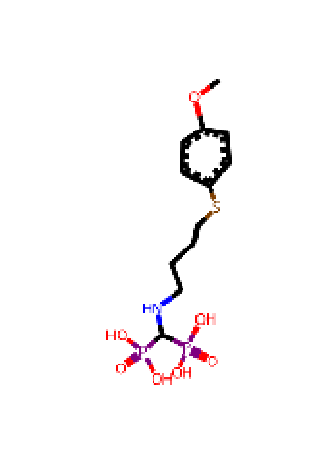 COc1ccc(SCCCCNC(P(=O)(O)O)P(=O)(O)O)cc1